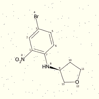 O=[N+]([O-])c1cc(Br)ccc1N[C@H]1CCOC1